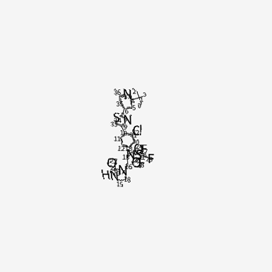 CC(C)(C)c1cc(-c2nc(-c3ccc(N(CCN4CCNC4=O)S(=O)(=O)C(F)(F)F)cc3Cl)cs2)ccn1